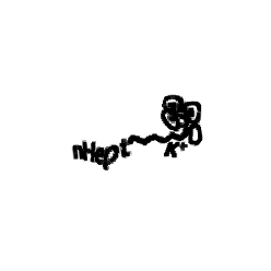 CCCCCCCCCCCCCC(=O)S(=O)(=O)[O-].[K+]